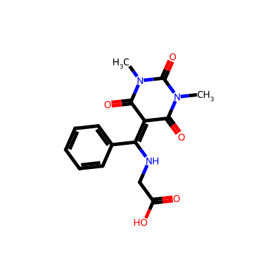 CN1C(=O)C(=C(NCC(=O)O)c2ccccc2)C(=O)N(C)C1=O